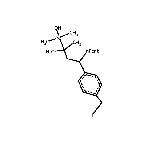 CCCCCC(CC(C)(C)[Si](C)(C)O)c1ccc(CI)cc1